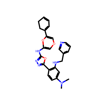 CN(C)c1ccc(-c2nnc(NC3=COC=C(C4=CC=CCC4)O3)o2)c(NCc2cccnc2)c1